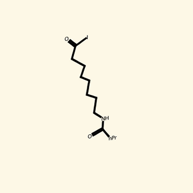 CCCC(=O)NCCCCCCCC(=O)I